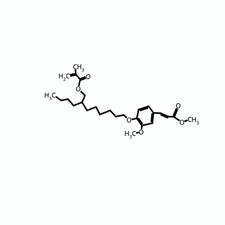 C=C(C)C(=O)OCC(CCCC)CCCCCCOc1ccc(/C=C/C(=O)OC)cc1OC